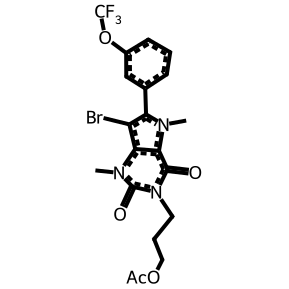 CC(=O)OCCCn1c(=O)c2c(c(Br)c(-c3cccc(OC(F)(F)F)c3)n2C)n(C)c1=O